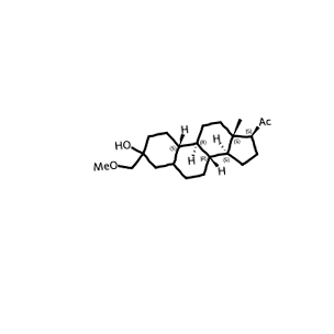 COCC1(O)CC[C@H]2C(CC[C@@H]3[C@@H]2CC[C@]2(C)[C@@H](C(C)=O)CC[C@@H]32)C1